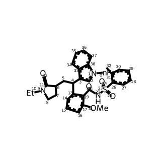 CCCn1cc(C(CC2CCN(CC)C2=O)c2cccc(OC)c2C(=O)NS(=O)(=O)c2ccccc2C)c2ccccc21